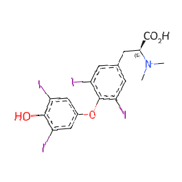 CN(C)[C@@H](Cc1cc(I)c(Oc2cc(I)c(O)c(I)c2)c(I)c1)C(=O)O